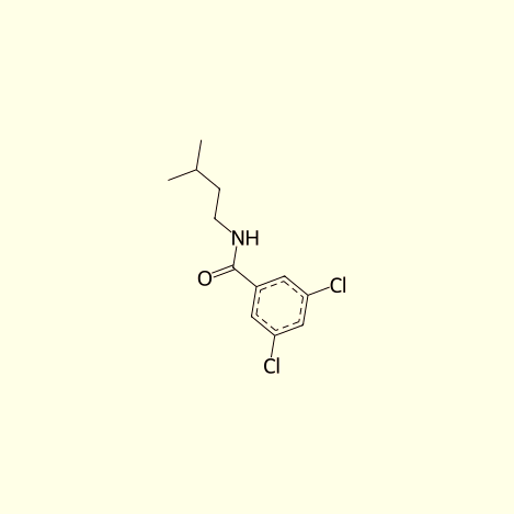 CC(C)CCNC(=O)c1cc(Cl)cc(Cl)c1